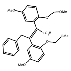 COCOc1ccc(OC)cc1C(Cc1ccccc1)=C(C(=O)O)c1cc(OC)ccc1OCOC